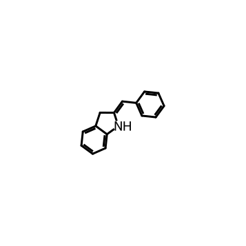 C(=C1\Cc2ccccc2N1)/c1ccccc1